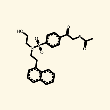 CC(=O)SCC(=O)c1ccc(S(=O)(=O)N(CCO)CCc2cccc3ccccc23)cc1